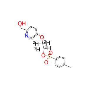 [2H]C([2H])(Oc1ccc(CO)nc1)C([2H])([2H])OS(=O)(=O)c1ccc(C)cc1